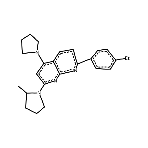 CCc1ccc(-c2ccc3c(N4CCCC4)cc(N4CCCC4C)nc3n2)cc1